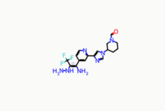 NN/C(=C(\N)c1ccnc(-c2cn(C3CCCN(C=O)C3)cn2)c1)C(F)(F)F